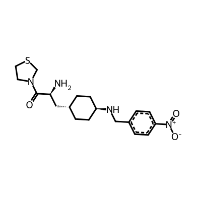 N[C@@H](C[C@H]1CC[C@H](NCc2ccc([N+](=O)[O-])cc2)CC1)C(=O)N1CCSC1